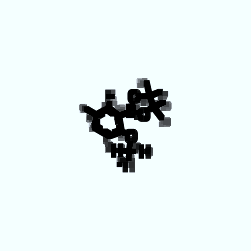 [2H]C([2H])([2H])Oc1ccc(C)c(F)c1B1OC(C)(C)C(C)(C)O1